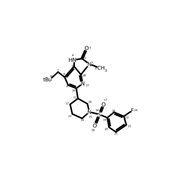 Cn1c(=O)[nH]c2c(CC(C)(C)C)cc(C3CCCN(S(=O)(=O)c4cccc(F)c4)C3)nc21